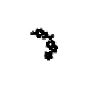 O=C(c1cc2ccc(Br)cn2n1)N1CCn2c(ccc2-c2ccsc2)C1